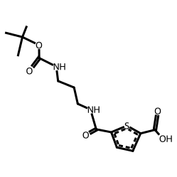 CC(C)(C)OC(=O)NCCCNC(=O)c1ccc(C(=O)O)s1